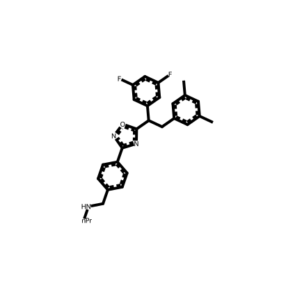 [CH2]CCNCc1ccc(-c2noc(C(Cc3cc(C)cc(C)c3)c3cc(F)cc(F)c3)n2)cc1